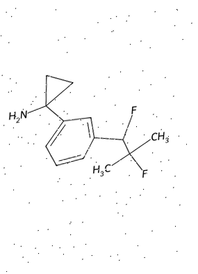 CC(C)(F)C(F)c1cccc(C2(N)CC2)c1